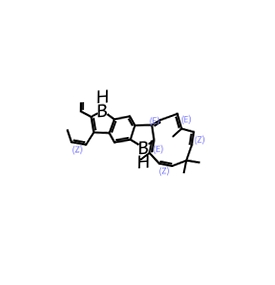 C=CC1=C(/C=C\C)c2cc3c(cc2B1)C1=C/C=C(C)/C=C\C(C)(C)/C=C\C(C)=C\1B3